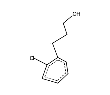 OCC[CH]c1ccccc1Cl